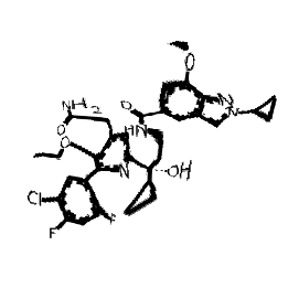 CCOc1c(CC(N)=O)cc([C@@](O)(CNC(=O)c2cc(OC)c3nn(C4CC4)cc3c2)C2CC2)nc1-c1cc(Cl)c(F)cc1F